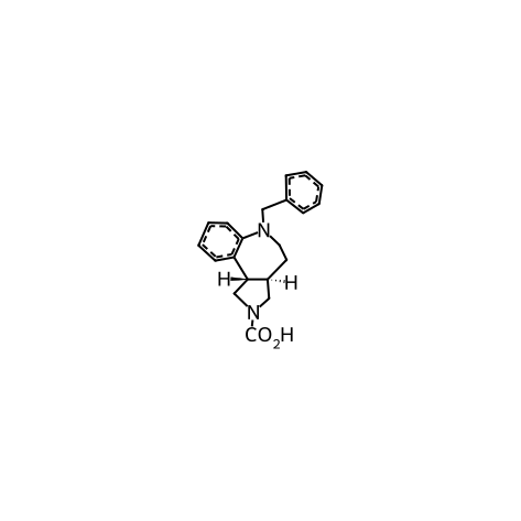 O=C(O)N1C[C@@H]2CCN(Cc3ccccc3)c3ccccc3[C@H]2C1